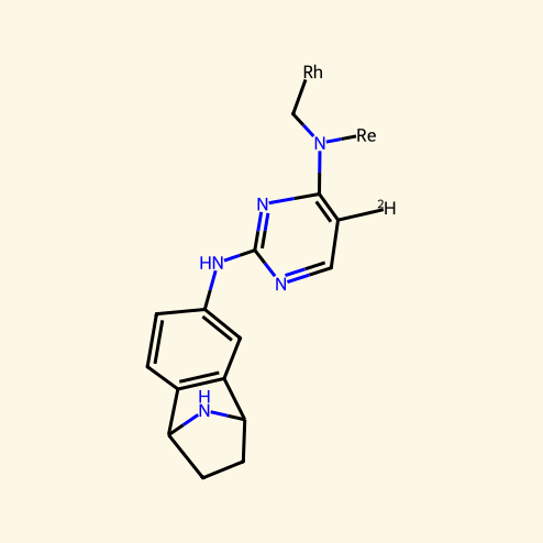 [2H]c1cnc(Nc2ccc3c(c2)C2CCC3N2)nc1[N]([Re])[CH2][Rh]